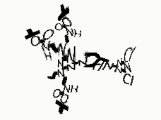 CCCN(CCNC(=O)OC(C)(C)C)c1nc(N(CCNC(=O)OC(C)(C)C)CCNC(=O)OC(C)(C)C)nc(N2CCC(CNc3nc(Cl)nc(Cl)n3)CC2)n1